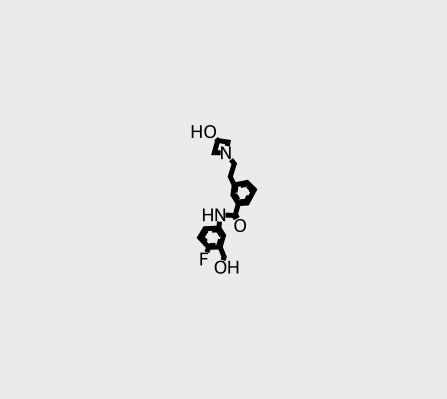 O=C(Nc1ccc(F)c(CO)c1)c1cccc(CCN2CC(O)C2)c1